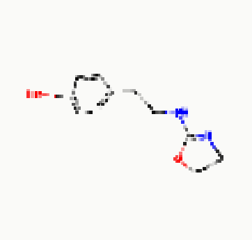 Oc1ccc(CCNC2=NCCO2)cc1